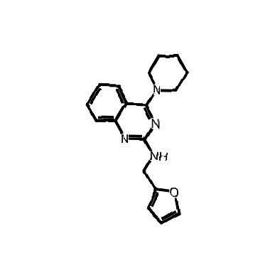 c1coc(CNc2nc(N3CCCCC3)c3ccccc3n2)c1